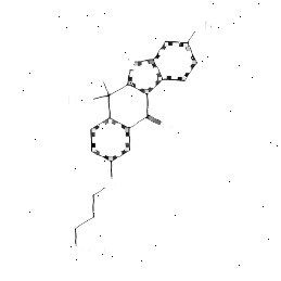 CC1(C)c2ccc(OCCCC(=O)O)cc2C(=O)c2c1[nH]c1cc(C#N)ccc21